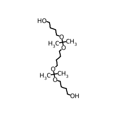 CC(C)(OCCCCO)OCCCCOC(C)(C)OCCCCO